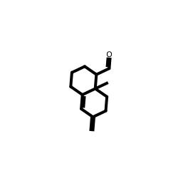 C=C1C=C2CCCC(C=O)C2(C)CC1